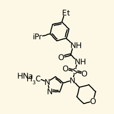 CCc1cc(NC(=O)NS(=O)(=O)N(c2cnn(C)c2)C2CCOCC2)cc(C(C)C)c1.[NaH]